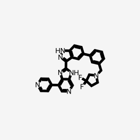 FC1(F)CCN(Cc2cccc(-c3ccc4[nH]nc(-c5nc6c(-c7ccncc7)cncc6[nH]5)c4c3)c2)C1